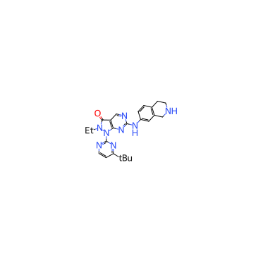 CCn1c(=O)c2cnc(Nc3ccc4c(c3)CNCC4)nc2n1-c1nccc(C(C)(C)C)n1